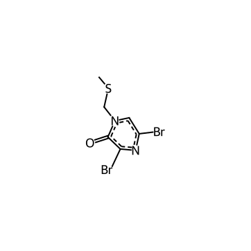 CSCn1cc(Br)nc(Br)c1=O